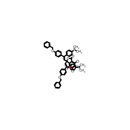 CN(C)c1ccc(/C(=C\C2(/C=C(/c3ccc(OCc4ccccc4)cc3)c3ccc(N(C)C)cc3)OC(=O)c3c(Cl)c(Cl)c(Cl)c(Cl)c32)c2ccc(OCc3ccccc3)cc2)cc1